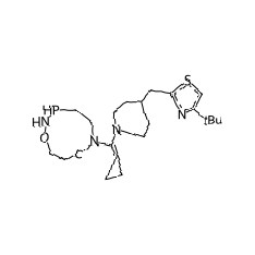 CC(C)(C)c1csc(CC2CCN(C(=C3CC3)N3CCCONPCC3)CC2)n1